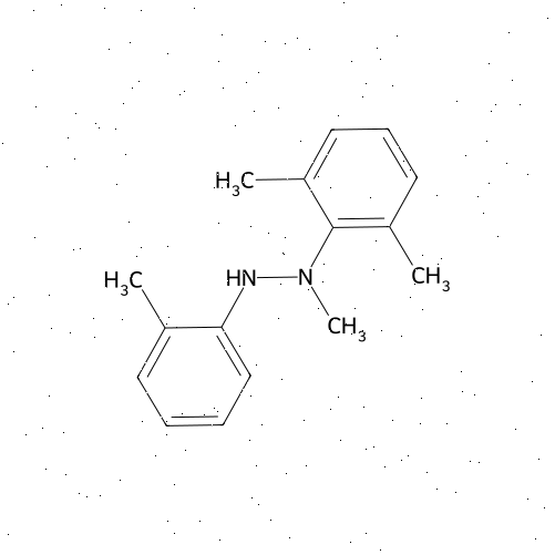 Cc1ccccc1NN(C)c1c(C)cccc1C